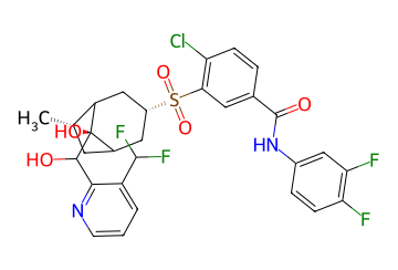 C[C@H]1CC2C[C@@H](S(=O)(=O)c3cc(C(=O)Nc4ccc(F)c(F)c4)ccc3Cl)CC1[C@@]2(O)C(O)c1ncccc1C(F)F